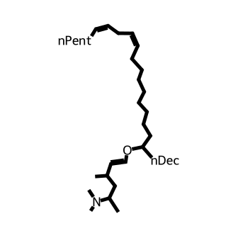 CCCCC/C=C\C/C=C\CCCCCCCCC(CCCCCCCCCC)O/C=C/C(C)CC(C)N(C)C